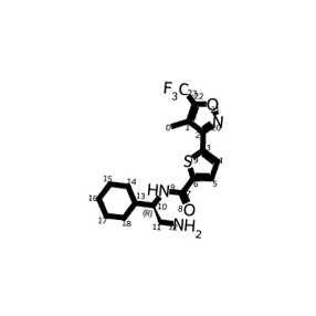 Cc1c(-c2ccc(C(=O)N[C@@H](CN)C3CCCCC3)s2)noc1C(F)(F)F